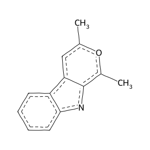 Cc1cc2c3ccccc3nc-2c(C)o1